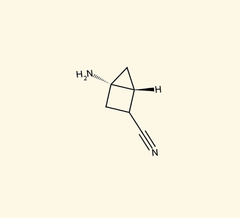 N#CC1C[C@@]2(N)C[C@H]12